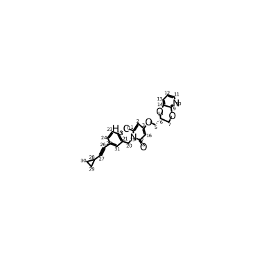 Cc1cc(OC[C@H]2COc3ncccc3O2)cc(=O)n1Cc1cccc(C#CC2CC2)c1